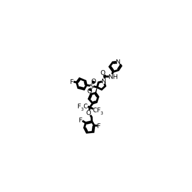 O=C(Nc1ccncc1)N1CC[C@](c2ccc(C(OCc3c(F)cccc3F)(C(F)(F)F)C(F)(F)F)cc2)(S(=O)(=O)c2ccc(F)cc2)C1